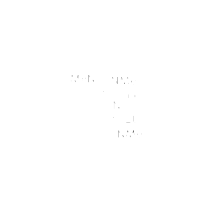 CCC1(NC)CCCC(NC)(NC)N1[O]